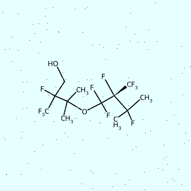 CC(C)(OC(F)(F)[C@](F)(C(C)(C)F)C(F)(F)F)C(F)(CO)C(F)(F)F